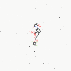 O=C(CCc1ccc(N2C(=O)C=CC2=O)cc1C(=O)O)Oc1c(F)c(F)cc(F)c1F